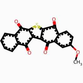 COc1ccc2c(=O)c3sc4c(=O)c5ccccc5c(=O)c4c3c(=O)c2c1